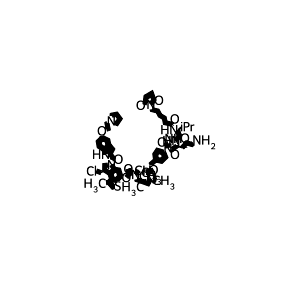 Cc1csc2c(OC(=O)N(C)CC(C)(C)CN(C)C(=O)OCc3ccc(N(C(N)=O)C(=O)[C@H](CCCN)NC(=O)[C@@H](NC(=O)CCCCCN4C(=O)C=CC4=O)C(C)C)cc3)cc3c(c12)[C@H](CCl)CN3C(=O)c1cc2cc(OCCN3CCCC3)ccc2[nH]1